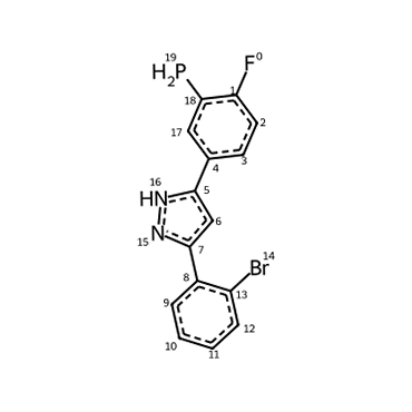 Fc1ccc(-c2cc(-c3ccccc3Br)n[nH]2)cc1P